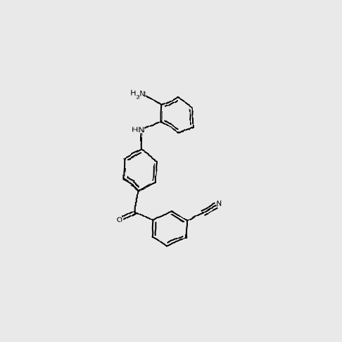 N#Cc1cccc(C(=O)c2ccc(Nc3ccccc3N)cc2)c1